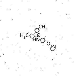 Cc1ccc(-c2cc(C)ccc2C(=O)Nc2ccc(COCc3ccccn3)cc2)cc1